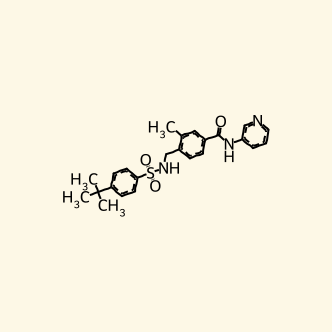 Cc1cc(C(=O)Nc2cccnc2)ccc1CNS(=O)(=O)c1ccc(C(C)(C)C)cc1